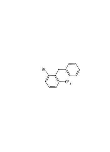 FC(F)(F)c1cccc(Br)c1Cc1ccccc1